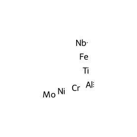 [Al].[Cr].[Fe].[Mo].[Nb].[Ni].[Ti]